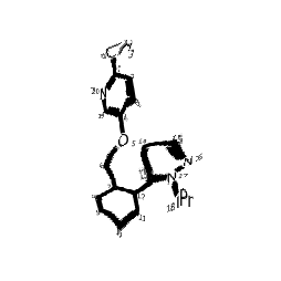 Cc1ccc(OCC2CCCCC2c2ccnn2C(C)C)cn1